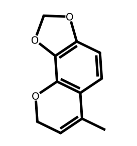 CC1=CCOc2c1ccc1c2OCO1